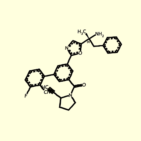 C#CC1CCCN1C(=O)c1cc(-c2ncc([C@](C)(N)Cc3ccccc3)o2)cc(-c2cccc(F)c2C#N)c1